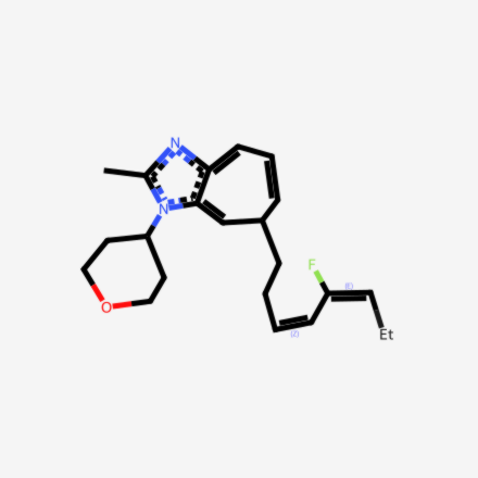 CC/C=C(F)\C=C/CCC1C=CC=c2nc(C)n(C3CCOCC3)c2=C1